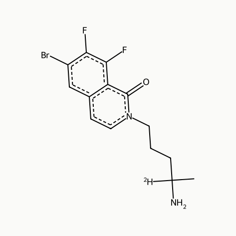 [2H]C(C)(N)CCCn1ccc2cc(Br)c(F)c(F)c2c1=O